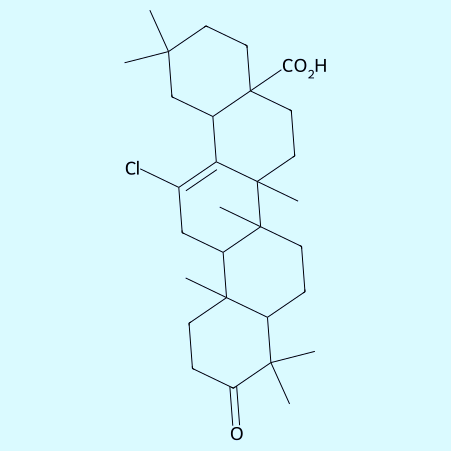 CC1(C)CCC2(C(=O)O)CCC3(C)C(=C(Cl)CC4C5(C)CCC(=O)C(C)(C)C5CCC43C)C2C1